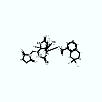 N=C1N[C@H]2[C@H](CN3C(=O)CCC3=O)NC(=N)N3CC(NC(=O)c4cccc5c4CC(F)(F)CC5)C(O)(O)C23N1